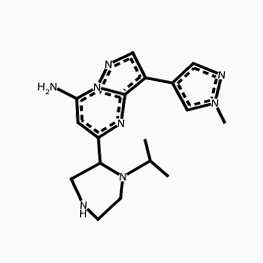 CC(C)N1CCNCC1c1cc(N)n2ncc(-c3cnn(C)c3)c2n1